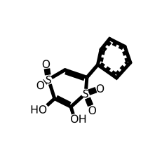 O=S1(=O)C=C(c2ccccc2)S(=O)(=O)C(O)=C1O